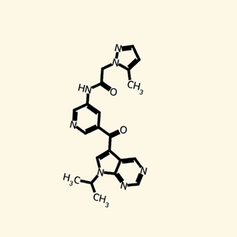 Cc1ccnn1CC(=O)Nc1cncc(C(=O)c2cn(C(C)C)c3ncncc23)c1